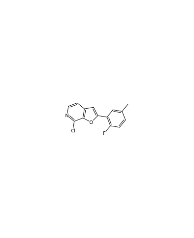 Cc1ccc(F)c(-c2cc3ccnc(Cl)c3o2)c1